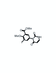 COC(=O)c1cc(-n2c(=O)cc[nH]c2=O)cc(I)c1OC